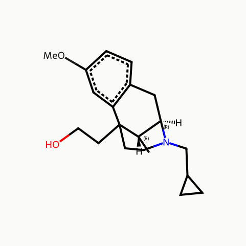 COc1ccc2c(c1)C1(CCO)CCN(CC3CC3)[C@H](C2)[C@@H]1C